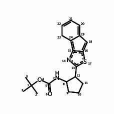 CC(C)(C)OC(=O)NC1CCCC1c1nc2c(s1)=CC1=CC=CCC=21